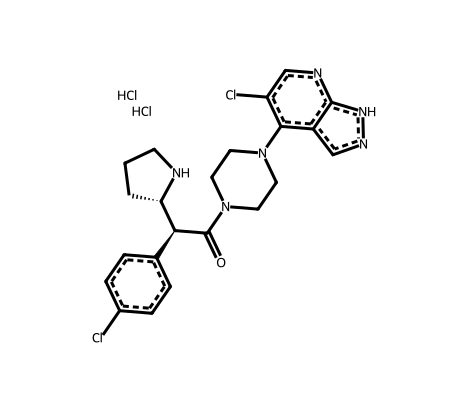 Cl.Cl.O=C([C@@H](c1ccc(Cl)cc1)[C@@H]1CCCN1)N1CCN(c2c(Cl)cnc3[nH]ncc23)CC1